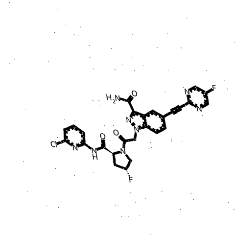 NC(=O)c1nn(CC(=O)N2C[C@H](F)C[C@H]2C(=O)Nc2cccc(Cl)n2)c2ccc(C#Cc3ncc(F)cn3)cc12